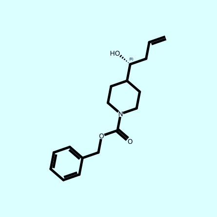 C=CC[C@@H](O)C1CCN(C(=O)OCc2ccccc2)CC1